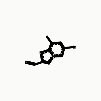 Cc1cc(Br)cn2cc(C=O)nc12